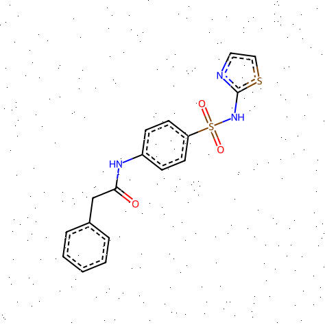 O=C(Cc1ccccc1)Nc1ccc(S(=O)(=O)Nc2nccs2)cc1